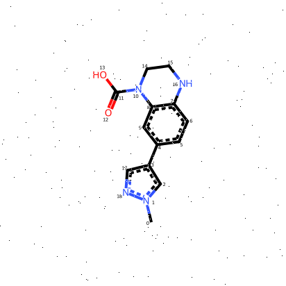 Cn1cc(-c2ccc3c(c2)N(C(=O)O)CCN3)cn1